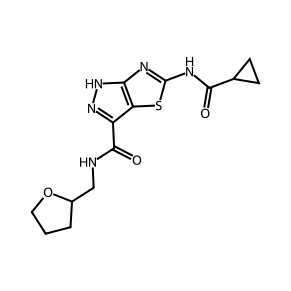 O=C(NCC1CCCO1)c1n[nH]c2nc(NC(=O)C3CC3)sc12